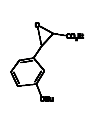 CCOC(=O)C1OC1c1cccc(OCC(C)C)c1